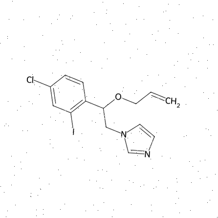 C=CCOC(Cn1ccnc1)c1ccc(Cl)cc1I